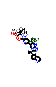 CC(C)(C)[C@H](NC(=O)c1ccc(-c2cnc3ncc(C4(c5ccc6ncccc6c5)C=C4)n3c2)cn1)C(=O)O.Cl.Cl.Cl